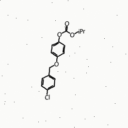 CC(C)OC(=O)Oc1ccc(OCc2ccc(Cl)cc2)cc1